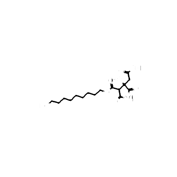 CCCCCCCCCCOC(=O)C(C(C)=O)C(O)(CC(=O)O)C(=O)O